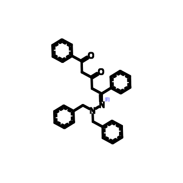 O=C(CC(=O)c1ccccc1)C/C(=N\N(Cc1ccccc1)Cc1ccccc1)c1ccccc1